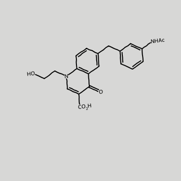 CC(=O)Nc1cccc(Cc2ccc3c(c2)c(=O)c(C(=O)O)cn3CCO)c1